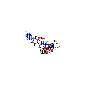 Cc1ncn(-c2ccc(-c3ccc(O[C@H]4CC5CCCC([C@H]4F)N5C(=O)OC(C)(C)C)nn3)c(O)c2)n1